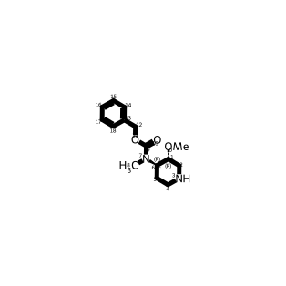 CO[C@@H]1CNCC[C@H]1N(C)C(=O)OCc1ccccc1